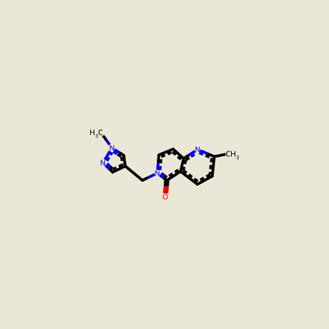 Cc1ccc2c(=O)n(Cc3cnn(C)c3)ccc2n1